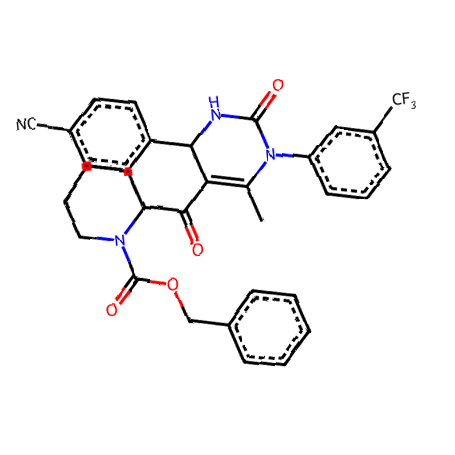 CC1=C(C(=O)C2CCCCN2C(=O)OCc2ccccc2)C(c2ccc(C#N)cc2)NC(=O)N1c1cccc(C(F)(F)F)c1